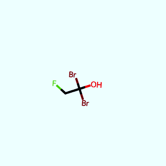 OC(Br)(Br)CF